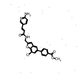 COC(=O)c1ccc(-c2cc(Cl)c3oc(CNC(=O)C=Cc4ccc(N)nc4)cc3c2)cc1